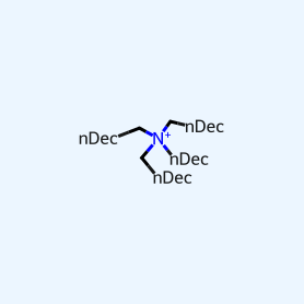 CCCCCCCCCCC[N+](CCCCCCCCCC)(CCCCCCCCCCC)CCCCCCCCCCC